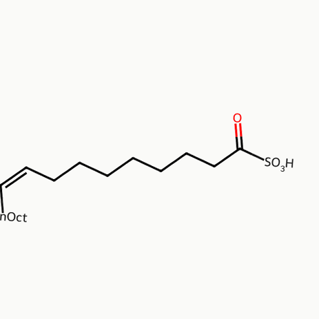 CCCCCCCC/C=C\CCCCCCCC(=O)S(=O)(=O)O